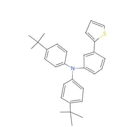 CC(C)(C)c1ccc(N(c2ccc(C(C)(C)C)cc2)c2cccc(-c3cccs3)c2)cc1